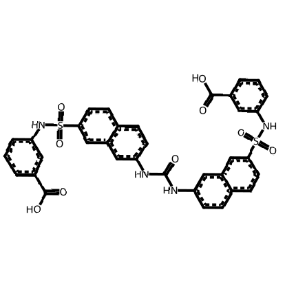 O=C(Nc1ccc2ccc(S(=O)(=O)Nc3cccc(C(=O)O)c3)cc2c1)Nc1ccc2ccc(S(=O)(=O)Nc3cccc(C(=O)O)c3)cc2c1